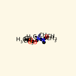 CC#C/C(=C\C=C/C)N(c1ccc(Oc2ccc(S(=O)(=O)c3ccc(C(C)(C)C)cc3)cc2)cc1)c1ccc(N(c2ccccc2)c2ccc(OC(C)C)cc2)cc1